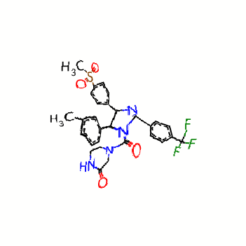 Cc1cccc(C2C(c3ccc(S(C)(=O)=O)cc3)N=C(c3ccc(C(F)(F)F)cc3)N2C(=O)N2CCNC(=O)C2)c1